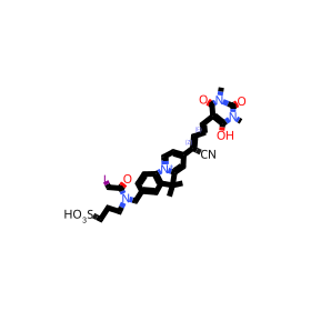 Cn1c(O)c(/C=C/C=C(\C#N)c2cc[n+]3c(c2)C(C)(C)c2cc(CN(CCCS(=O)(=O)O)C(=O)CI)ccc2-3)c(=O)n(C)c1=O